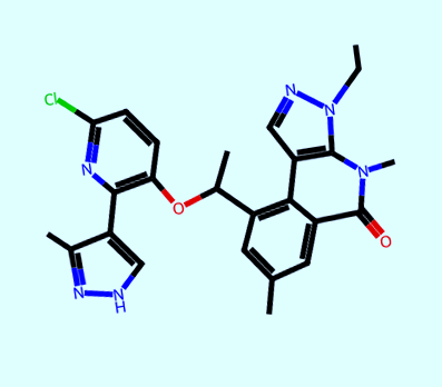 CCn1ncc2c3c(C(C)Oc4ccc(Cl)nc4-c4c[nH]nc4C)cc(C)cc3c(=O)n(C)c21